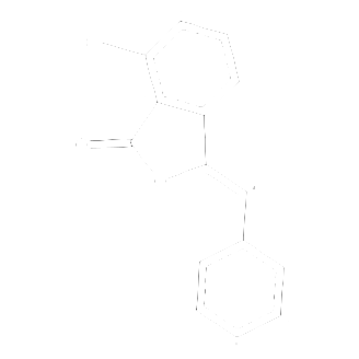 O=C1OC(=Cc2ccccc2)c2cccc(Cl)c21